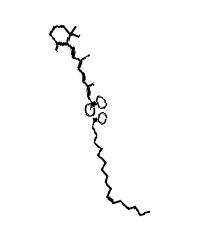 CCCCC/C=C\CCCCCCCCCCC(=O)OC(=O)/C=C(C)/C=C/C=C(C)/C=C/C1=C(C)CCCC1(C)C